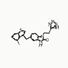 Cc1cccc2scc(Cc3ccc4c(c3)[nH]c(=O)n4CCc3nnn[nH]3)c12